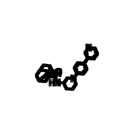 O=C(N[C@H]1CCCN(c2ccc(-c3cccnc3)cc2)C1)C12CC3CC(C1)C(O)C(C3)C2